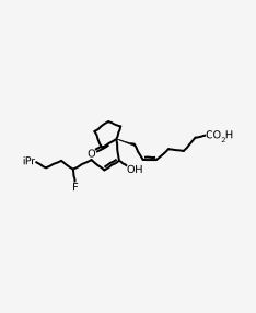 CC(C)CCC(F)C/C=C(/O)[C@@]1(C/C=C\CCCC(=O)O)CCCC1=O